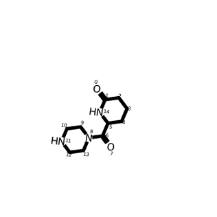 O=C1CCCC(C(=O)N2CCNCC2)N1